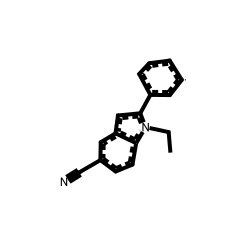 CCn1c(-c2c[c]ccc2)cc2cc(C#N)ccc21